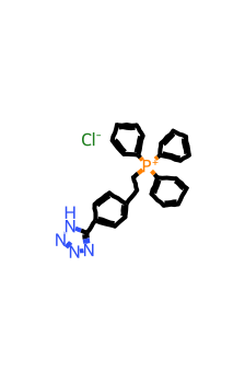 [Cl-].c1ccc([P+](CCc2ccc(-c3nnn[nH]3)cc2)(c2ccccc2)c2ccccc2)cc1